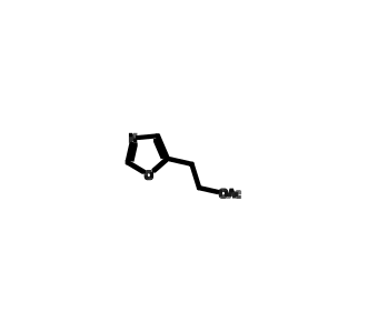 CC(=O)OCCc1cnco1